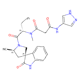 CC(C)C[C@@H](C(=O)N1C[C@]2(C[C@H]1C#N)C(=O)Nc1ccccc12)N(C)C(=O)CC(=O)Nc1cn[nH]c1